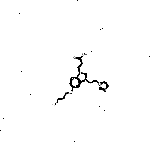 CCCCOc1ccc2c(c1)C(CCn1ccnc1)CN2CCC(=O)O